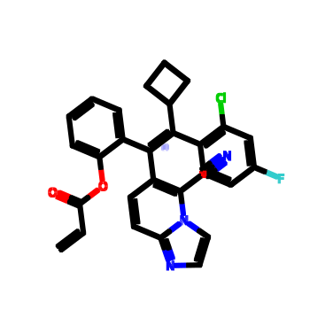 C=CC(=O)Oc1ccccc1/C(=C(/c1ccc(F)cc1Cl)C1CCC1)c1ccc2nccn2c1C#N